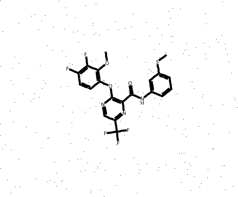 COc1c(Oc2ncc(C(F)(F)F)nc2C(=O)Nc2cccc(SC)c2)ccc(F)c1F